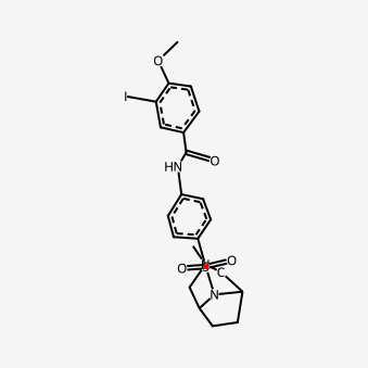 COc1ccc(C(=O)Nc2ccc(S(=O)(=O)N3C4CCC3CN(C)C4)cc2)cc1I